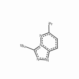 CC(C)c1ccc2nnc(C(C)(C)C)n2n1